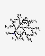 CCCN(CCN)CCN(CCN(CCN)CCN)CCN(CCN(CC/C(=C\CCN)CCCN)CCN(CCN)CCN)CCN(CCN(CCN(CCN)CCN)CCN(CCN)CCCN)CCN(CCN(CCN)CCN)CCN(CCN)CCCN